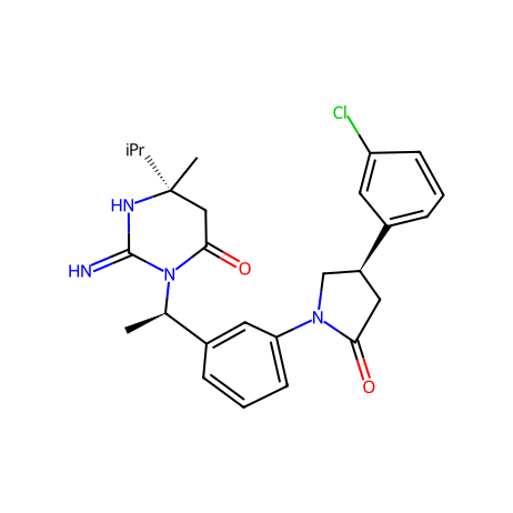 CC(C)[C@]1(C)CC(=O)N([C@H](C)c2cccc(N3C[C@@H](c4cccc(Cl)c4)CC3=O)c2)C(=N)N1